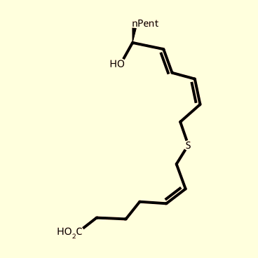 CCCCC[C@H](O)/C=C/C=C\CSC/C=C\CCCC(=O)O